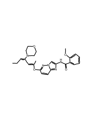 CC/C=C(\C=C(/C)Oc1ccc2nc(NC(=O)c3ccccc3OC)cn2n1)N1CCOCC1